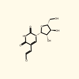 O=c1[nH]c(=O)n([C@@H]2O[C@H](CO)[C@@H](O)[C@@H]2O)cc1/C=C/Cl